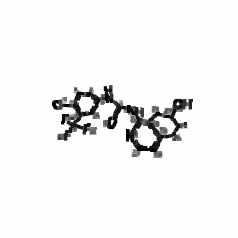 O=C(Nc1ccc(Cl)c(C(F)(F)F)c1)Nc1nccc2c1CC(O)CC2